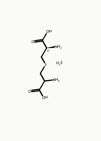 NC(CSC[C@H](N)C(=O)O)C(=O)O.S